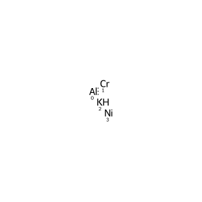 [Al].[Cr].[KH].[Ni]